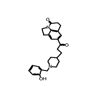 O=C(CCC1CCN(Cc2ccccc2O)CC1)c1cc2c3c(c1)CCN3C(=O)CC2